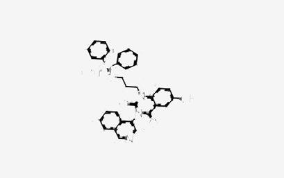 C[C@@H](CCO[Si](c1ccccc1)(c1ccccc1)C(C)(C)C)n1c(=O)n(-c2cncc3ccccc23)c(=O)c2cc(C(F)(F)F)ccc21